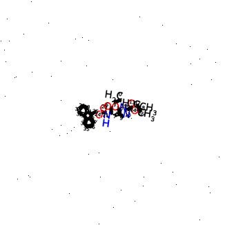 C=CCOC(=O)[C@H](Cc1cnc(C(=O)OC(C)(C)C)nc1)NC(=O)OCC1c2ccccc2-c2ccccc21